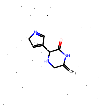 C=C1CNC(C2=CCN=C2)C(=O)N1